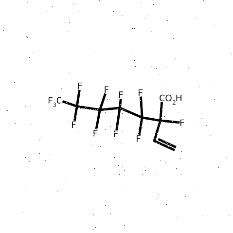 C=CC(F)(C(=O)O)C(F)(F)C(F)(F)C(F)(F)C(F)(F)C(F)(F)F